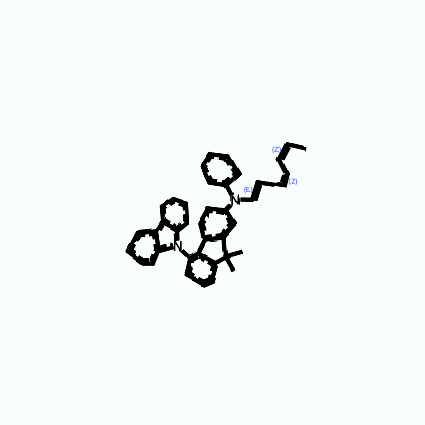 C\C=C/C=C\C=C\N(c1ccccc1)c1ccc2c(c1)C(C)(C)c1cccc(-n3c4ccccc4c4ccccc43)c1-2